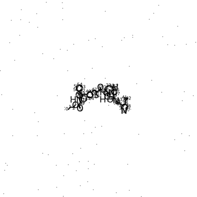 CCCOC(=O)[C@H](C)NP(=O)(Cc1ccc2sc(C(=O)N[C@H]3CCC[C@H]4CCC(C(=O)N5CC(c6cnccc6C6CC6)C5)N4C3=O)cc2c1)Oc1ccccc1